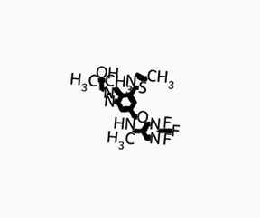 Cc1cnc(-c2cc(C(=O)NC(C)c3cnc(C(F)(F)F)nc3)cc3nn(CC(C)(C)O)cc23)s1